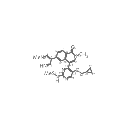 CN/C=C(\C=N)c1ccc2c(=O)n(C)cc(-c3nc(NSC)ncc3OCC3CC3)c2c1